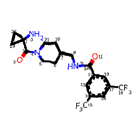 NC1(C(=O)N2CCC(CNC(=O)c3cc(C(F)(F)F)cc(C(F)(F)F)c3)CC2)CC1